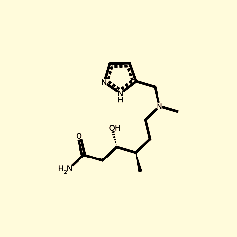 C[C@H](CCN(C)Cc1ccn[nH]1)[C@@H](O)CC(N)=O